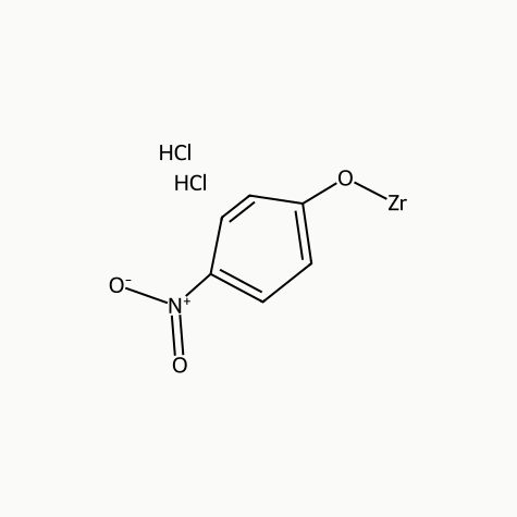 Cl.Cl.O=[N+]([O-])c1ccc([O][Zr])cc1